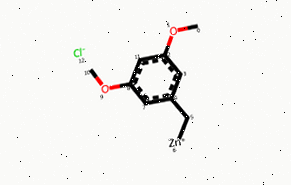 COc1cc([CH2][Zn+])cc(OC)c1.[Cl-]